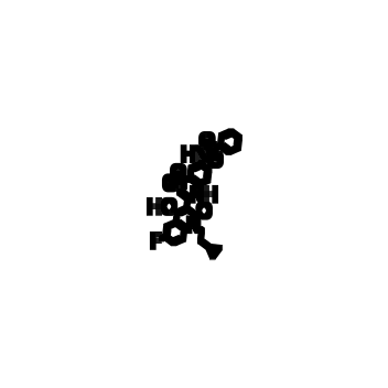 O=c1c(C2=CS(=O)(=O)c3cc(NS(=O)(=O)c4ccccc4)ccc3N2)c(O)c2cc(F)ccc2n1CCC1CC1